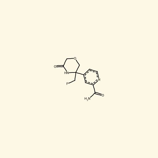 NC(=O)c1cc(C2(CF)COCC(=O)N2)ccn1